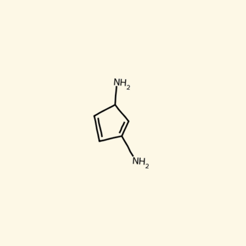 NC1=CC(N)C=C1